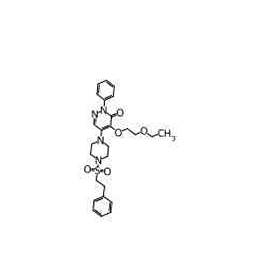 CCOCCOc1c(N2CCN(S(=O)(=O)CCc3ccccc3)CC2)cnn(-c2ccccc2)c1=O